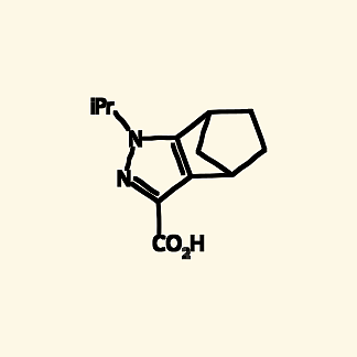 CC(C)n1nc(C(=O)O)c2c1C1CCC2C1